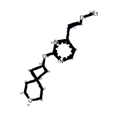 CCO/C=C/c1ccnc(OC2CC3(CCOCC3)C2)n1